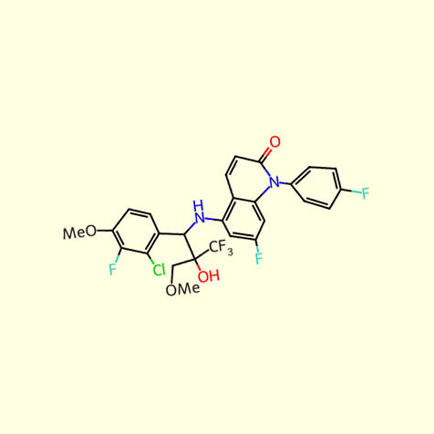 COCC(O)(C(Nc1cc(F)cc2c1ccc(=O)n2-c1ccc(F)cc1)c1ccc(OC)c(F)c1Cl)C(F)(F)F